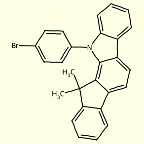 CC1(C)c2ccccc2-c2ccc3c4ccccc4n(-c4ccc(Br)cc4)c3c21